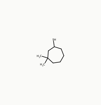 CC1(C)CCCCC(S)C1